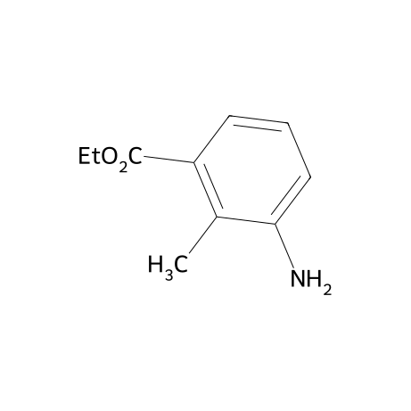 CCOC(=O)c1cccc(N)c1C